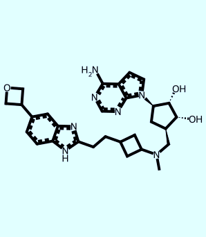 CN(C[C@H]1C[C@@H](n2ccc3c(N)ncnc32)[C@H](O)[C@@H]1O)C1CC(CCc2nc3cc(C4COC4)ccc3[nH]2)C1